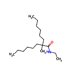 CCCCCCC(C)(CCCCCC)C(=O)NCC